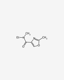 CCN(C)C(=O)c1coc(C)n1